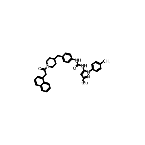 Cc1ccc(-n2nc(C(C)(C)C)cc2NC(=O)Nc2ccc(CC3CCN(C(=O)Cc4cccc5ccccc45)CC3)cc2)cc1